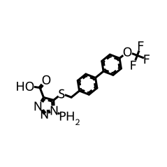 O=C(O)c1nnn(P)c1SCc1ccc(-c2ccc(OC(F)(F)F)cc2)cc1